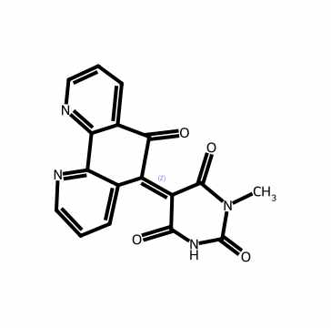 CN1C(=O)NC(=O)/C(=C2/C(=O)c3cccnc3-c3ncccc32)C1=O